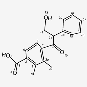 Cc1c(C(=O)O)ccc(C(=O)C(CO)c2ccccc2)c1C